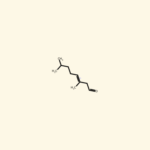 C/C(=C\CCC(C)C)CC=O